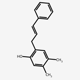 Cc1cc(O)c(C/C=C/c2ccccc2)cc1C